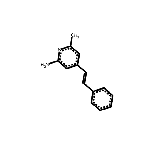 Cc1cc(/C=C/c2ccccc2)cc(N)n1